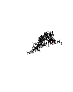 C=NC1(F)N=CN=C2N([C@@H]3O[C@H](COP(=O)(O)OP(=O)(O)OCC(C)(C)[C@@H](O)C(=O)NCCC(=O)NCCS)[C@@H](OP(=O)(O)O)[C@H]3O)C=NC21F